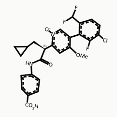 COc1cc([C@H](CC2CC2)C(=O)Nc2ccc(C(=O)O)cc2)[n+]([O-])cc1-c1c(C(F)F)ccc(Cl)c1F